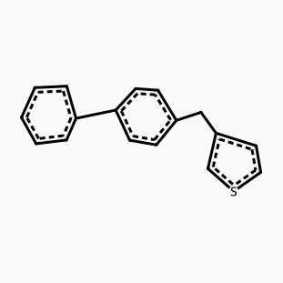 c1ccc(-c2ccc(Cc3ccsc3)cc2)cc1